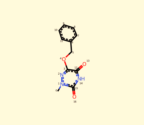 Cn1nc(OCc2ccccc2)c(=O)[nH]c1=O